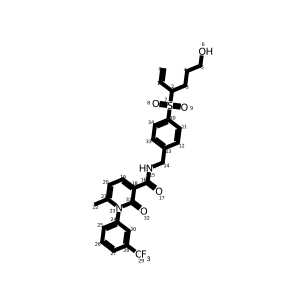 C=CC(CCCO)S(=O)(=O)c1ccc(CNC(=O)c2ccc(C)n(-c3cccc(C(F)(F)F)c3)c2=O)cc1